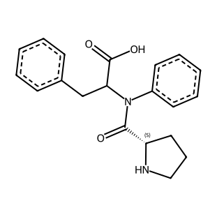 O=C(O)C(Cc1ccccc1)N(C(=O)[C@@H]1CCCN1)c1ccccc1